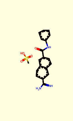 CS(=O)(=O)O.N=C(N)c1ccc2cc(C(=O)Nc3ccccc3)ccc2c1